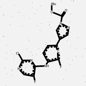 CC(C)(C)OC(=O)n1cc(-c2ccc(Nc3nc(Cl)ncc3F)c(F)c2)cn1